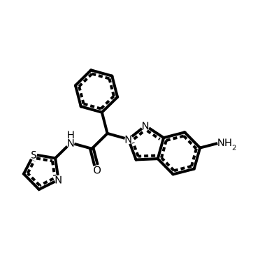 Nc1ccc2cn(C(C(=O)Nc3nccs3)c3ccccc3)nc2c1